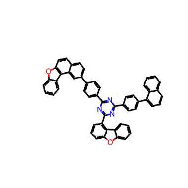 c1ccc2c(-c3ccc(-c4nc(-c5ccc(-c6ccc7ccc8oc9ccccc9c8c7c6)cc5)nc(-c5cccc6oc7ccccc7c56)n4)cc3)cccc2c1